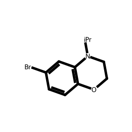 CC(C)N1CCOc2ccc(Br)cc21